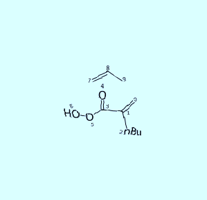 C=C(CCCC)C(=O)OO.C=CC